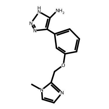 Cn1ccnc1COc1cccc(-c2nn[nH]c2N)c1